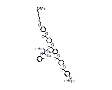 CCCCCCCOc1ccc(C(=O)OC2CCC(C(=O)Oc3ccc(C(=O)OC4CCC(C(=O)Oc5ccc(OCCCCCCOC)cc5)CC4)c(/C=N/N(CCCCCC)/C(=N/c4ccccc4C)C(C)CC)c3)CC2)cc1